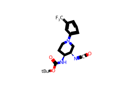 CC(C)(C)OC(=O)N[C@H]1CCN(c2cccc(C(F)(F)F)c2)C[C@@H]1N=C=O